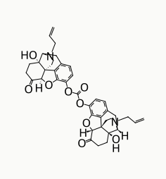 C=CCN1CC[C@]23c4c5ccc(OC(=O)Oc6ccc7c8c6O[C@H]6C(=O)CC[C@@]9(O)[C@@H](C7)N(CC=C)CC[C@]869)c4O[C@H]2C(=O)CC[C@@]3(O)C1C5